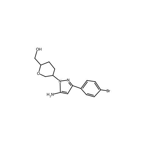 Nc1cc(-c2ccc(Br)cc2)nn1C1CCC(CO)OC1